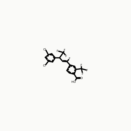 O=C(O)c1ccc(/C(F)=C/C(c2cc(Cl)cc(Cl)c2)C(F)(F)F)cc1C(F)(F)F